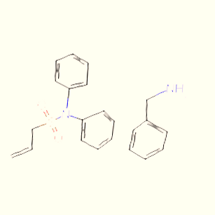 C=CCS(=O)(=O)N(c1ccccc1)c1ccccc1.NCc1ccccc1